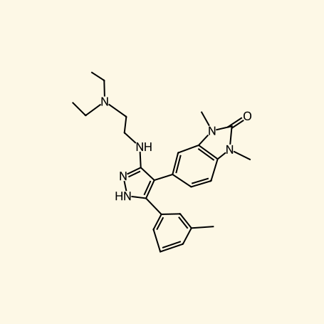 CCN(CC)CCNc1n[nH]c(-c2cccc(C)c2)c1-c1ccc2c(c1)n(C)c(=O)n2C